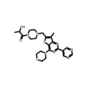 Cc1c(CN2CCN(C(=O)C(C)O)CC2)sc2c(N3CCOCC3)nc(-c3cncnc3)nc12